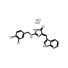 Cl.Cl.O=C1NC(NCc2ccc(Cl)c(Cl)c2)=NC1=Cc1c[nH]c2ncccc12